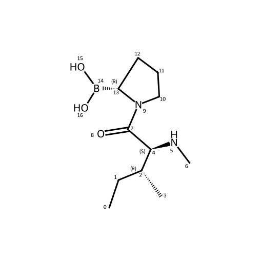 CC[C@@H](C)[C@H](NC)C(=O)N1CCC[C@H]1B(O)O